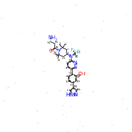 CC1(C)CC(N(c2ccc(-c3ccc(-c4cn[nH]c4)cc3O)nn2)C(F)(F)F)CC(C)(C)N1C(=O)CCN